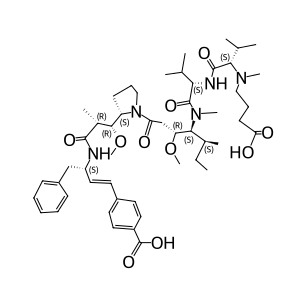 CC[C@H](C)[C@@H]([C@@H](CC(=O)N1CCC[C@H]1[C@H](OC)[C@@H](C)C(=O)N[C@H](C=Cc1ccc(C(=O)O)cc1)Cc1ccccc1)OC)N(C)C(=O)[C@@H](NC(=O)[C@H](C(C)C)N(C)CCCC(=O)O)C(C)C